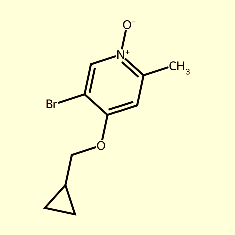 Cc1cc(OCC2CC2)c(Br)c[n+]1[O-]